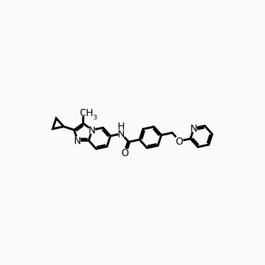 Cc1c(C2CC2)nc2ccc(NC(=O)c3ccc(COc4ccccn4)cc3)cn12